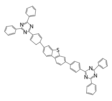 C1=CC(c2ccc3c(c2)sc2cc(-c4ccc(-c5nc(-c6ccccc6)nc(-c6ccccc6)n5)cc4)ccc23)CC=C1c1nc(-c2ccccc2)nc(-c2ccccc2)n1